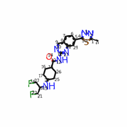 Cc1nnc(-c2ccc3cnc(NC(=O)C4CCC(NC(CF)CF)CC4)nc3c2)s1